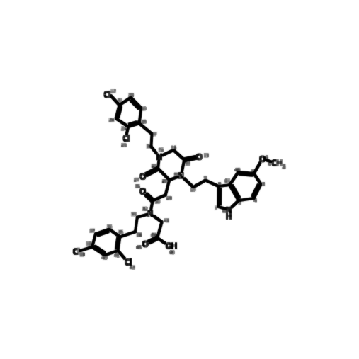 COc1ccc2[nH]cc(CCN3C(=O)CN(CCc4ccc(Cl)cc4Cl)C(=O)C3CC(=O)N(CCc3ccc(Cl)cc3Cl)CC(=O)O)c2c1